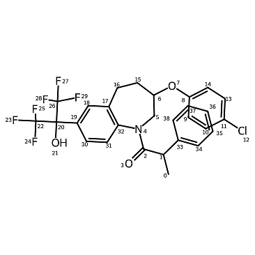 CC(C(=O)N1CC(Oc2ccc(Cl)cc2)CCc2cc(C(O)(C(F)(F)F)C(F)(F)F)ccc21)c1ccccc1